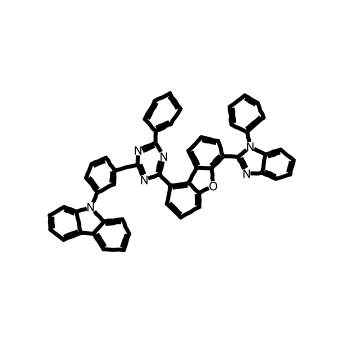 c1ccc(-c2nc(-c3cccc(-n4c5ccccc5c5ccccc54)c3)nc(-c3cccc4oc5c(-c6nc7ccccc7n6-c6ccccc6)cccc5c34)n2)cc1